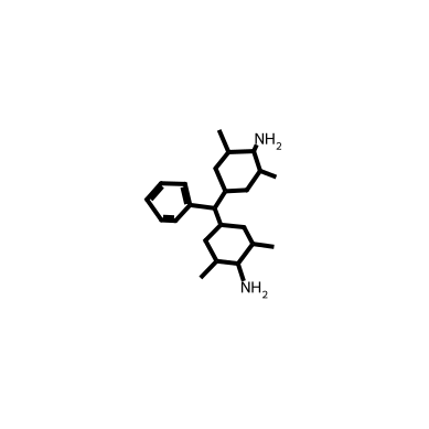 CC1CC(C(c2ccccc2)C2CC(C)C(N)C(C)C2)CC(C)C1N